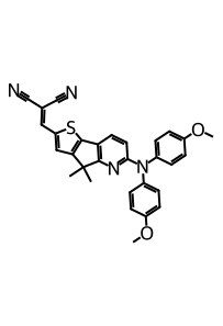 COc1ccc(N(c2ccc(OC)cc2)c2ccc3c(n2)C(C)(C)c2cc(C=C(C#N)C#N)sc2-3)cc1